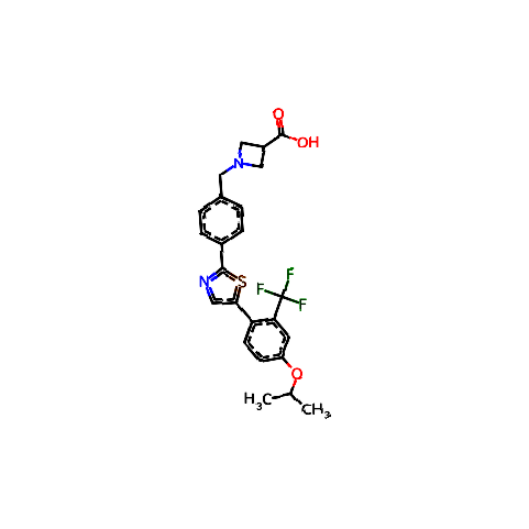 CC(C)Oc1ccc(-c2cnc(-c3ccc(CN4CC(C(=O)O)C4)cc3)s2)c(C(F)(F)F)c1